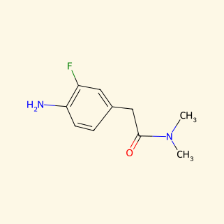 CN(C)C(=O)Cc1ccc(N)c(F)c1